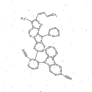 C=C/C=C\c1oc2c(ccc3c4cc(-c5c(C#N)cccc5-n5c6ccccc6c6cc(C#N)ccc65)ccc4n(-c4ccccc4)c32)c1C